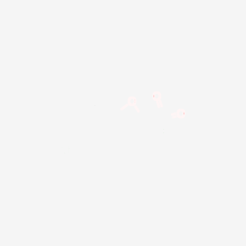 Cc1c(S(=O)(=O)Cl)oc2ccc(Cl)cc12